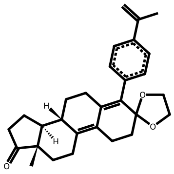 C=C(C)c1ccc(C2=C3CC[C@@H]4C(=C3CCC23OCCO3)CC[C@]2(C)C(=O)CC[C@@H]42)cc1